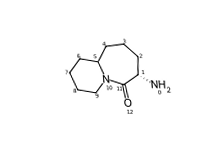 N[C@H]1CCCC2CCCCN2C1=O